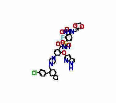 O=C(NS(=O)(=O)c1ccc(NC[C@H]2COCCO2)c([N+](=O)[O-])c1F)c1ccc(N2CCN(CC3=C(c4ccc(Cl)cc4)CC4(CCC4)CC3)CC2)cc1Oc1cnc2[nH]ccc2c1